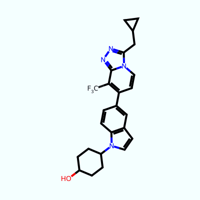 OC1CCC(n2ccc3cc(-c4ccn5c(CC6CC6)nnc5c4C(F)(F)F)ccc32)CC1